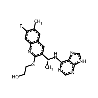 Cc1cc2cc([C@H](C)Nc3ncnc4[nH]cnc34)c(SCCO)nc2cc1F